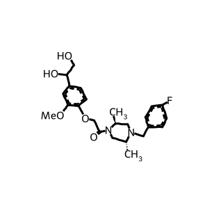 COc1cc(C(O)CO)ccc1OCC(=O)N1C[C@@H](C)N(Cc2ccc(F)cc2)C[C@@H]1C